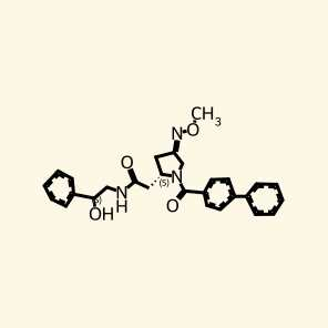 CON=C1C[C@@H](CC(=O)NC[C@@H](O)c2ccccc2)N(C(=O)c2ccc(-c3ccccc3)cc2)C1